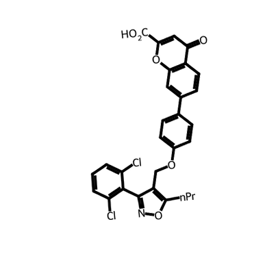 CCCc1onc(-c2c(Cl)cccc2Cl)c1COc1ccc(-c2ccc3c(=O)cc(C(=O)O)oc3c2)cc1